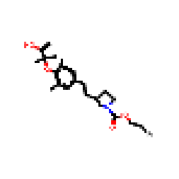 C=C(O)C(C)(C)Oc1c(C)cc(CCC2CCN(C(=O)OCCC(C)C)C2)cc1C